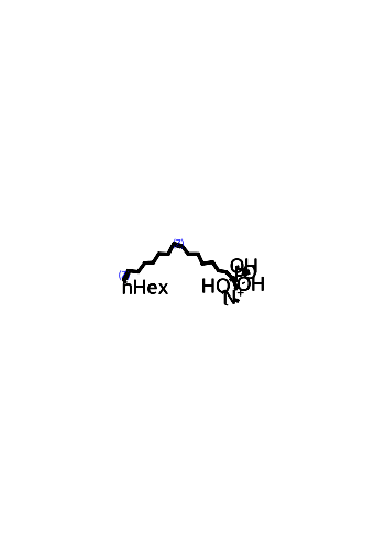 CCCCCC/C=C\CCCCC/C=C\CCCCCCC(O)(C[N+](C)(C)C)P(=O)(O)O